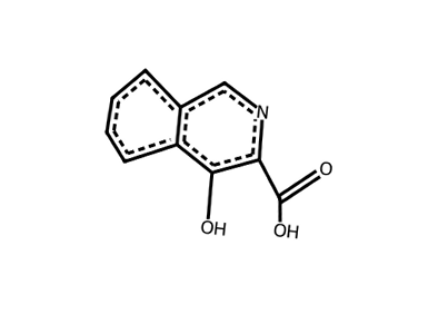 O=C(O)c1ncc2ccccc2c1O